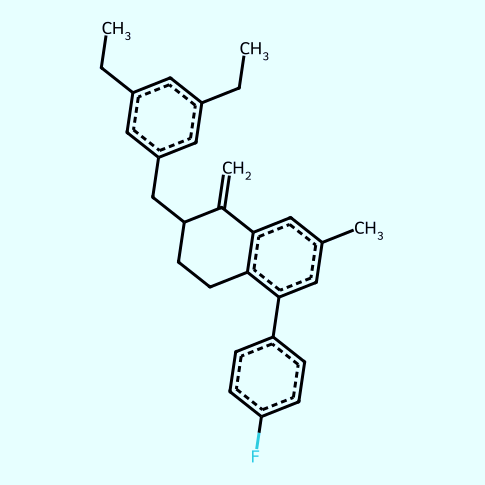 C=C1c2cc(C)cc(-c3ccc(F)cc3)c2CCC1Cc1cc(CC)cc(CC)c1